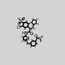 CN(C)C(=O)c1cccc(Cn2ccc(NC(=O)C(CC3CCCC3)c3ccc(S(C)(=O)=O)c(Cl)c3)n2)c1